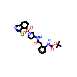 CC(C)(C)OC(=O)Nc1ccccc1CC(=O)NC1CCN(S(=O)(=O)c2cccc3cncc(Cl)c23)C1